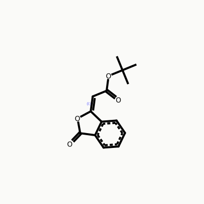 CC(C)(C)OC(=O)/C=C1/OC(=O)c2ccccc21